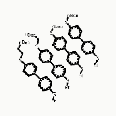 CCCCCCCCCCCCSc1ccc(-c2ccc(SCC)cc2)cc1.CCCCCCCCCCCSc1ccc(-c2ccc(SCC)cc2)cc1.CCCCCCCCCCSc1ccc(-c2ccc(SCC)cc2)cc1.CCCCCCCCCSc1ccc(-c2ccc(SCC)cc2)cc1